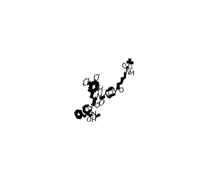 CCNC(=O)[C@]1(Cc2ccccc2)CCCN(C(=O)[C@@H](Cc2ccc(Cl)c(Cl)c2)NC(=O)N2CCN(C(=O)CCCCCNC(=O)OC(C)(C)C)CC2)C1